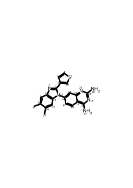 Cc1cc2nc(-c3ccsc3)n(-c3ccc4c(N)nc(N)nc4c3)c2cc1C